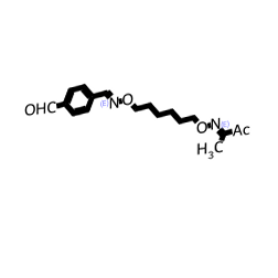 CC(=O)/C(C)=N/OCCCCCCO/N=C/c1ccc(C=O)cc1